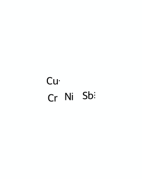 [Cr].[Cu].[Ni].[Sb]